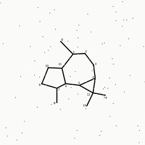 CC1CCC2C(C3C(C)CCC13)C2(C)C